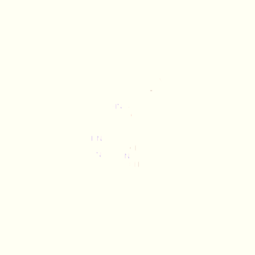 CN(C)c1cc(N[C@H]2CC[C@@H](NC(=O)C3CCc4ccccc4C3)CC2)nc2ccccc12